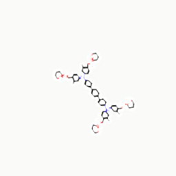 Cc1cc(N(c2ccc(-c3ccc(-c4ccc(N(c5ccc(COC6CCCCO6)c(C)c5)c5ccc(COC6CCCCO6)c(C)c5)cc4)cc3)cc2)c2ccc(COC3CCCCO3)c(C)c2)ccc1COC1CCCCO1